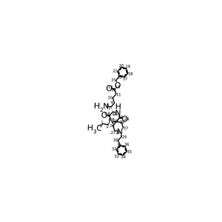 CCCN1C(=O)[C@H](C(N)CCCC(=O)OCc2ccccc2)NC(=O)C12CCN(CCc1ccccc1)CC2